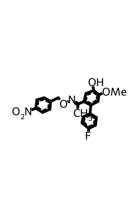 COc1cc(-c2ccc(F)cc2)c(/C(C)=N/OCc2ccc([N+](=O)[O-])cc2)cc1O